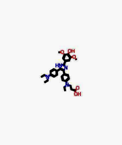 CCN(CC)c1ccc(-c2[nH]c(-c3cc(OC)c(O)c(OC)c3)nc2-c2ccc(N(CC)CCC(=O)O)cc2)cc1